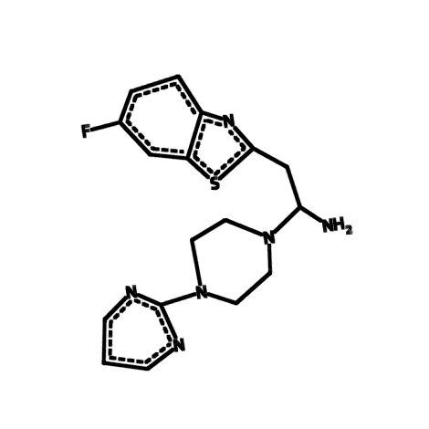 NC(Cc1nc2ccc(F)cc2s1)N1CCN(c2ncccn2)CC1